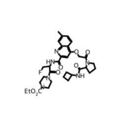 CCOC(=O)N1CCN(C(=O)C(CF)NC(=O)c2cc(OCC(=O)N3CCCC3C(=O)NC3CCC3)c3ccc(C)cc3n2)CC1